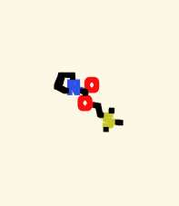 CS(C)(C)CCOC(=O)N1CC=CC1